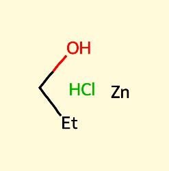 CCCO.Cl.[Zn]